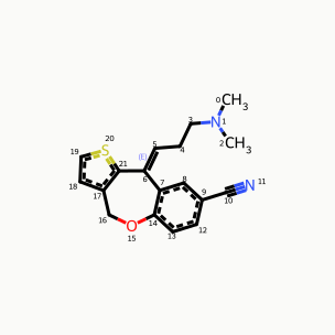 CN(C)CC/C=C1\c2cc(C#N)ccc2OCc2ccsc21